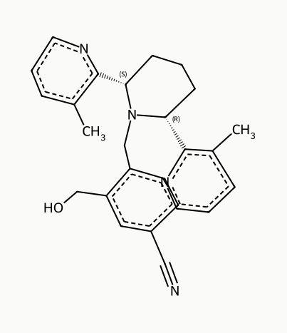 Cc1cccnc1[C@H]1CCC[C@@H](c2ncccc2C)N1Cc1ccc(C#N)cc1CO